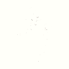 CCCCCCCCCCC[N+](C)(C)CCC[Si](OCCCC)(OCCCC)OCCCC.[Cl-]